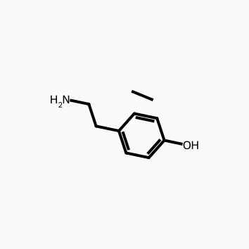 CC.NCCc1ccc(O)cc1